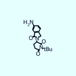 CC(C)(C)N1C(=O)CCC(N2Cc3ccc(N)cc3C2=O)C1=O